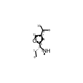 CC[C@@H](NC)c1cc(C(C)C)co1